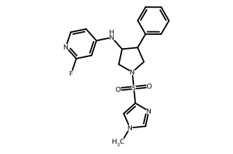 Cn1cnc(S(=O)(=O)N2CC(Nc3ccnc(F)c3)C(c3ccccc3)C2)c1